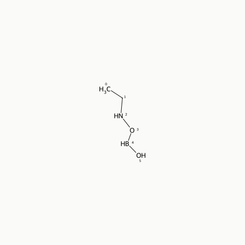 CCNOBO